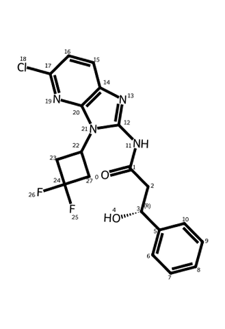 O=C(C[C@@H](O)c1ccccc1)Nc1nc2ccc(Cl)nc2n1C1CC(F)(F)C1